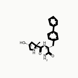 C[C@]1(C(=O)N[C@H](Cc2ccc(-c3ccccc3)cc2)C(N)=O)C[C@@H](O)CN1